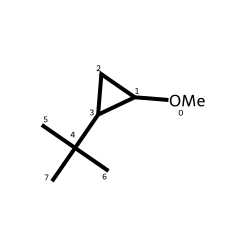 COC1CC1C(C)(C)C